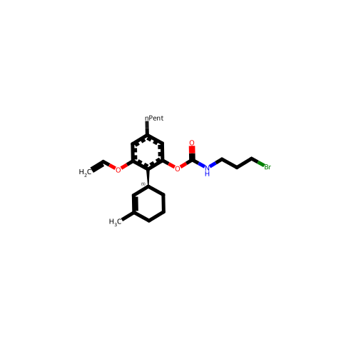 C=COc1cc(CCCCC)cc(OC(=O)NCCCBr)c1[C@@H]1C=C(C)CCC1